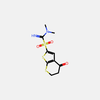 CN(C)C(=N)S(=O)(=O)c1cc2c(s1)SCCC2=O